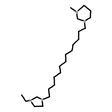 CCN1CCN(CCCCCCCCCCCCCN2CCCN(C)C2)C1